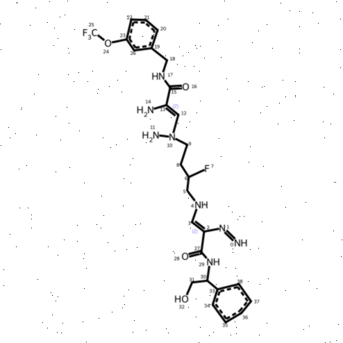 N=N/C(=C\NCC(F)CCN(N)/C=C(\N)C(=O)NCc1cccc(OC(F)(F)F)c1)C(=O)NC(CO)c1ccccc1